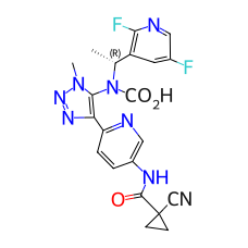 C[C@H](c1cc(F)cnc1F)N(C(=O)O)c1c(-c2ccc(NC(=O)C3(C#N)CC3)cn2)nnn1C